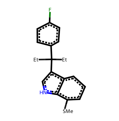 CCC(CC)(c1ccc(F)cc1)c1c[nH]c2c(SC)cccc12